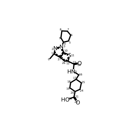 Cc1nn(C2CCCCC2)c2sc(C(=O)NCC3CCC(C(=O)O)CC3)cc12